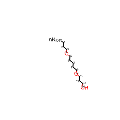 CCCCCCCCCCCCOCCCCCOCCCO